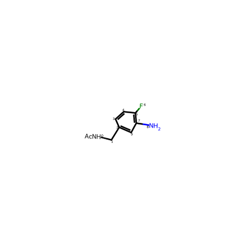 CC(=O)NCc1ccc(F)c(N)c1